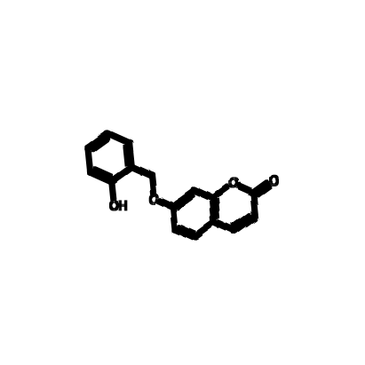 O=c1ccc2ccc(OCc3ccccc3O)cc2o1